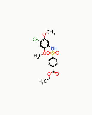 CCOC(=O)c1ccc(S(=O)(=O)Nc2cc(OC)c(Cl)cc2OC)cc1